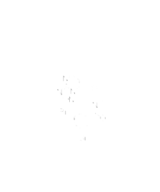 Cc1cc(C2CN(C(=O)c3cc(Br)cc(Br)c3)CCO2)n2ncnc2n1